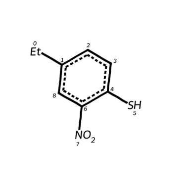 CCc1ccc(S)c([N+](=O)[O-])c1